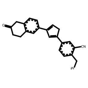 CC(C)Cc1ccc(C2=CC(c3ccc4c(c3)CCC(=O)C4)=CC2)cc1C#N